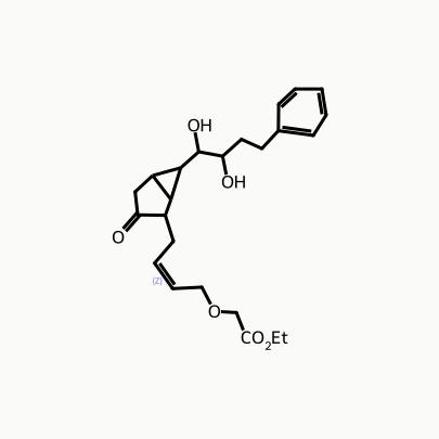 CCOC(=O)COC/C=C\CC1C(=O)CC2C1C2C(O)C(O)CCc1ccccc1